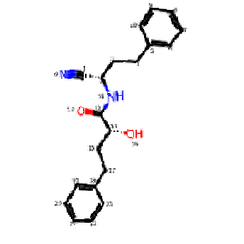 N#C[C@H](CCc1ccccc1)NC(=O)[C@H](O)CCc1ccccc1